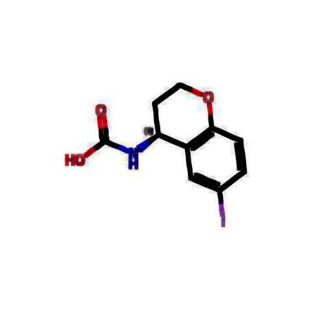 O=C(O)N[C@H]1CCOc2ccc(I)cc21